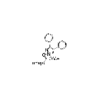 CCCCCCCC(=O)OC.c1ccc(-c2c[nH]nc2-c2ccccc2)cc1